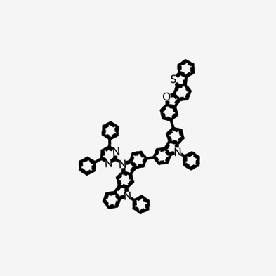 c1ccc(-c2cc(-c3ccccc3)nc(-n3c4ccc(-c5ccc6c(c5)c5cc(-c7ccc8oc9c(ccc%10c%11ccccc%11sc%109)c8c7)ccc5n6-c5ccccc5)cc4c4cc5c(cc43)c3ccccc3n5-c3ccccc3)n2)cc1